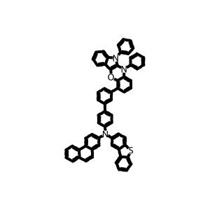 c1ccc(N2c3cccc(-c4cccc(-c5ccc(N(c6ccc7c(ccc8ccccc87)c6)c6ccc7sc8ccccc8c7c6)cc5)c4)c3Oc3c2n(-c2ccccc2)c2ccccc32)cc1